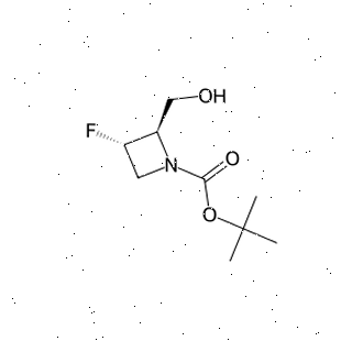 CC(C)(C)OC(=O)N1C[C@H](F)[C@H]1CO